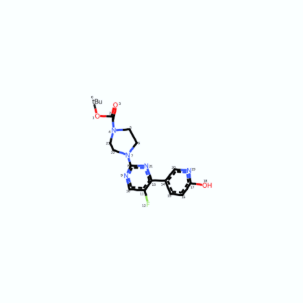 CC(C)(C)OC(=O)N1CCN(c2ncc(F)c(-c3ccc(O)nc3)n2)CC1